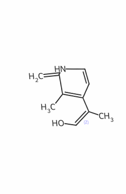 C=C1NC=CC(/C(C)=C\O)=C1C